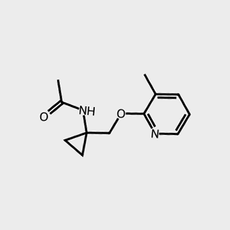 CC(=O)NC1(COc2ncccc2C)CC1